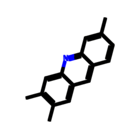 Cc1ccc2cc3cc(C)c(C)cc3nc2c1